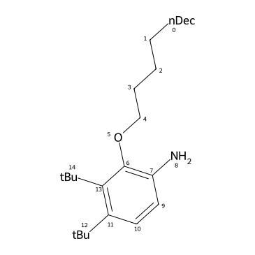 CCCCCCCCCCCCCCOc1c(N)ccc(C(C)(C)C)c1C(C)(C)C